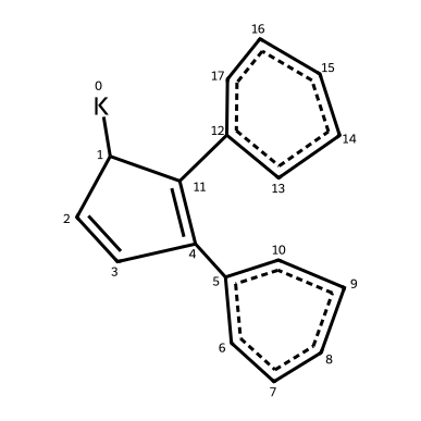 [K][CH]1C=CC(c2ccccc2)=C1c1ccccc1